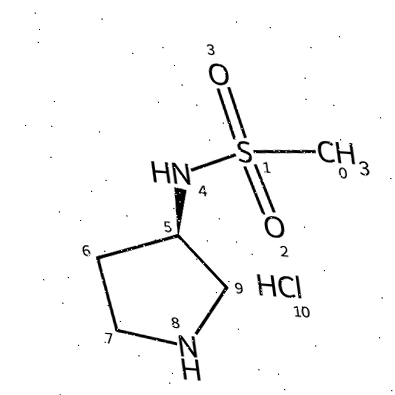 CS(=O)(=O)N[C@@H]1CCNC1.Cl